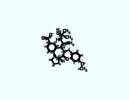 COc1ccc(CN2C(=O)[C@@H]3CCCN3c3ccc([N+](=O)[O-])cc3/C2=C(/N)NC(C)(C)C)cc1